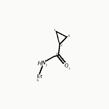 [CH2]CNC(=O)C1CC1